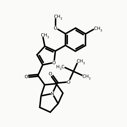 COc1cc(C)ccc1-c1oc(C(=O)C2CCC3CCC2N3C(=O)OC(C)(C)C)cc1C